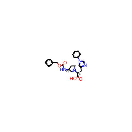 O=C(N[C@H]1CCN([C@@H](Cc2cn(-c3ccccc3)cn2)C(=O)O)C1)OCc1ccccc1